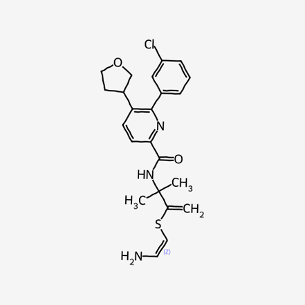 C=C(S/C=C\N)C(C)(C)NC(=O)c1ccc(C2CCOC2)c(-c2cccc(Cl)c2)n1